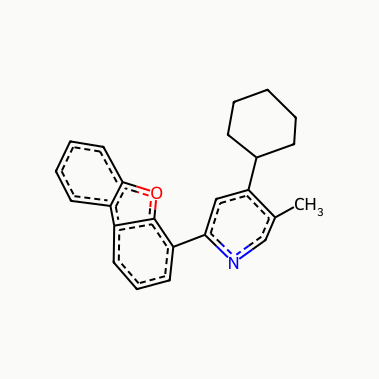 Cc1cnc(-c2cccc3c2oc2ccccc23)cc1C1CCCCC1